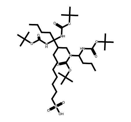 CCCCC(NC(=O)OC(C)(C)C)(NC(=O)OC(C)(C)C)C(CCCCCCCS(=O)(=O)O)CN(C(=O)OC(C)(C)C)C(CCC)NC(=O)OC(C)(C)C